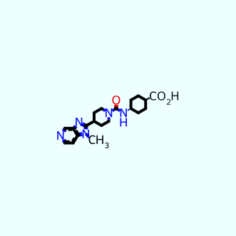 Cn1c(C2CCN(C(=O)N[C@H]3CC[C@H](C(=O)O)CC3)CC2)nc2cnccc21